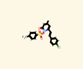 Cc1cc(/C=C/c2ccc(Cl)cc2)n(OS(=O)(=O)c2ccc(C(F)(F)F)cc2)c(=O)c1